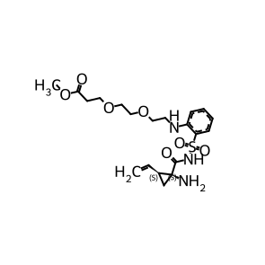 C=C[C@@H]1C[C@@]1(N)C(=O)NS(=O)(=O)c1ccccc1NCCOCCOCCC(=O)OC